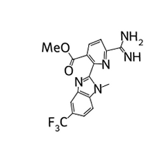 COC(=O)c1ccc(C(=N)N)nc1-c1nc2cc(C(F)(F)F)ccc2n1C